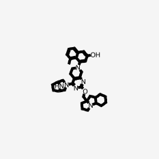 Cc1cccc2cc(O)cc(N3CCc4c(nc(OCC56CCCN5C5CCCCC5C6)nc4N4CC5CCC(C4)N5)C3)c12